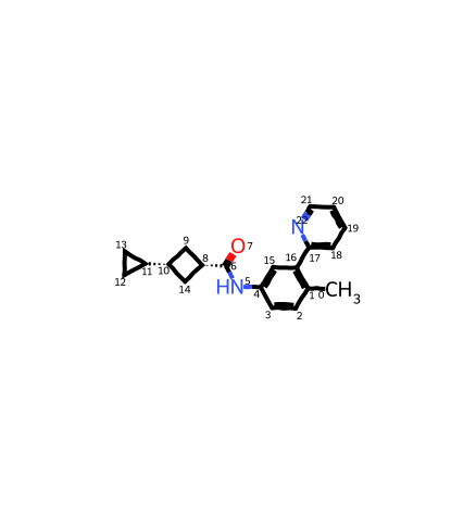 Cc1ccc(NC(=O)[C@H]2C[C@@H](C3CC3)C2)cc1-c1ccccn1